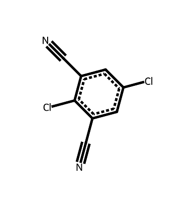 N#Cc1cc(Cl)cc(C#N)c1Cl